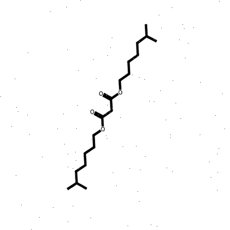 CC(C)CCCCCOC(=O)CC(=O)OCCCCCC(C)C